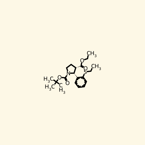 CCOC(=O)[C@H]1CCN(C(=O)OC(C)(C)C)[C@H]1c1ccccc1SCC